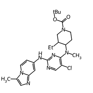 CCC1CN(C(=O)OC(C)(C)C)CCC1N(C)c1nc(Nc2ccn3c(C)cnc3c2)ncc1Cl